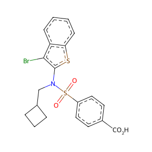 O=C(O)c1ccc(S(=O)(=O)N(CC2CCC2)c2sc3ccccc3c2Br)cc1